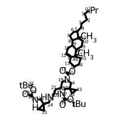 CC(C)CCCCC1CCC2C3CC=C4CC(OC(=O)N(CCCCNCC5(CNC(=O)OC(C)(C)C)CC5)CC5(CNC(=O)OC(C)(C)C)CC5)CCC4(C)C3CCC12C